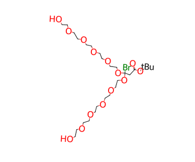 CC(C)(C)OC(=O)CC(Br)(OCCOCCOCCOCCOCCO)OCCOCCOCCOCCOCCO